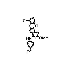 COc1nc(Nc2ccc(CF)cc2)c2nc(Cc3c(Cl)cccc3Cl)sc2n1